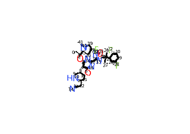 C[C@H](Oc1cc(O[C@H]2CCN[C@H](CC#N)C2)nc(-c2noc(C(C)(C)c3cc(F)ccc3F)n2)n1)[C@@H]1C[C@@H](F)CN1C